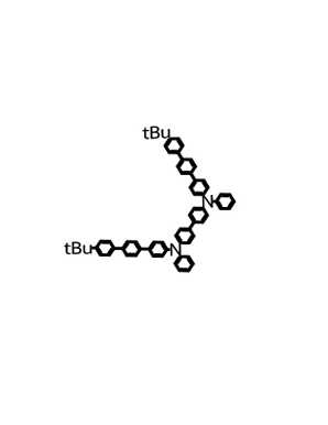 CC(C)(C)c1ccc(-c2ccc(-c3ccc(N(c4ccccc4)c4ccc(-c5ccc(N(c6ccccc6)c6ccc(-c7ccc(-c8ccc(C(C)(C)C)cc8)cc7)cc6)cc5)cc4)cc3)cc2)cc1